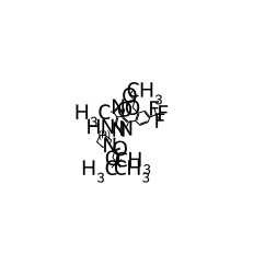 COCOc1cc(C(F)(F)F)ccc1-c1nnc(N[C@@H]2CCCN(C(=O)OC(C)(C)C)C2)c2c(C)noc12